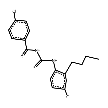 CCCCc1cc(Cl)ccc1NC(=S)NC(=O)c1ccc(Cl)cc1